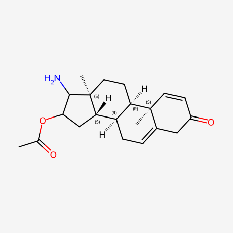 CC(=O)OC1C[C@H]2[C@@H]3CC=C4CC(=O)C=C[C@]4(C)[C@@H]3CC[C@]2(C)C1N